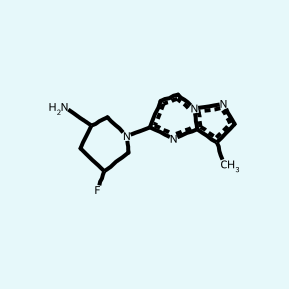 Cc1cnn2ccc(N3CC(N)CC(F)C3)nc12